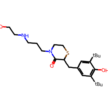 CC(C)(C)c1cc(CC2SCCN(CCCNCCO)C2=O)cc(C(C)(C)C)c1O